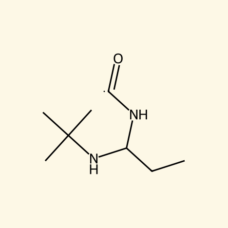 CCC(N[C]=O)NC(C)(C)C